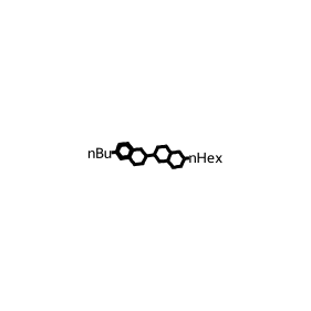 CCCCCCC1CCC2CC(C3CCc4cc(CCCC)ccc4C3)CCC2C1